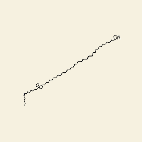 CCCC/C=C\CCCCCCCC(=O)OCCCCCCCCCCCCCCCCCCCCCCCCCCCCCCCCCCCCO